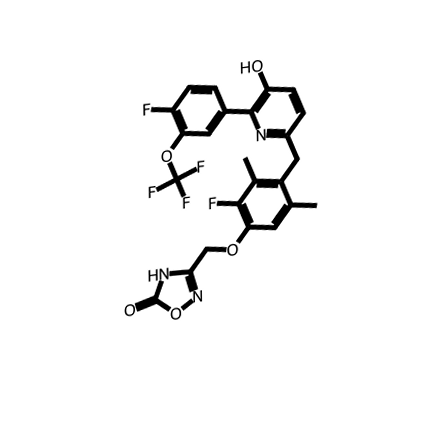 Cc1cc(OCc2noc(=O)[nH]2)c(F)c(C)c1Cc1ccc(O)c(-c2ccc(F)c(OC(F)(F)F)c2)n1